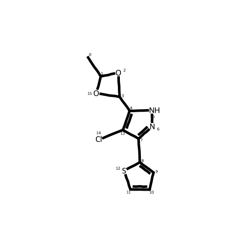 CC1OC(c2[nH]nc(-c3cccs3)c2Cl)O1